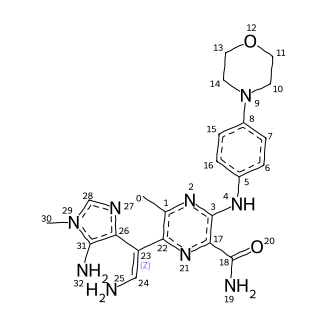 Cc1nc(Nc2ccc(N3CCOCC3)cc2)c(C(N)=O)nc1/C(=C/N)c1ncn(C)c1N